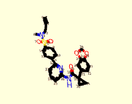 C#CCN(C)S(=O)(=O)c1ccc(-c2cccc(NC(=O)C3(c4ccc5c(c4)OCO5)CC3)n2)cc1